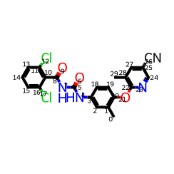 Cc1cc(NC(=O)NC(=O)c2c(Cl)cccc2Cl)ccc1Oc1ncc(C#N)cc1C